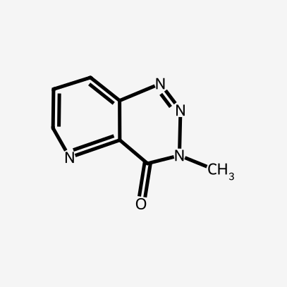 Cn1nnc2cccnc2c1=O